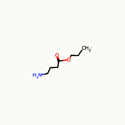 [CH2]CCOC(=O)CCCN